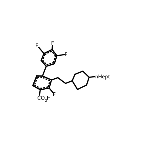 CCCCCCCC1CCC(CCc2c(-c3cc(F)c(F)c(F)c3)ccc(C(=O)O)c2F)CC1